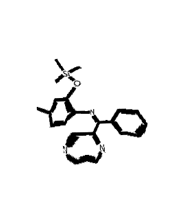 Cc1ccc(N=C(c2ccccc2)c2cnccn2)c(O[Si](C)(C)C)c1